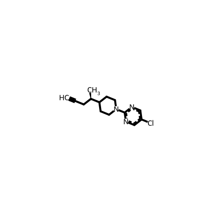 C#CC[C@@H](C)C1CCN(c2ncc(Cl)cn2)CC1